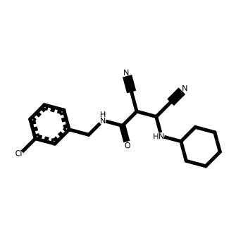 N#CC(NC1CCCCC1)C(C#N)C(=O)NCc1cccc(Cl)c1